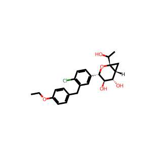 CCOc1ccc(Cc2cc([C@@H]3O[C@]4(C(C)O)C[C@@H]4[C@H](O)[C@H]3O)ccc2Cl)cc1